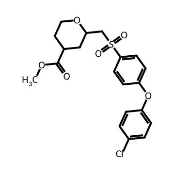 COC(=O)C1CCOC(CS(=O)(=O)c2ccc(Oc3ccc(Cl)cc3)cc2)C1